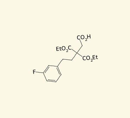 CCOC(=O)C(CCc1cccc(F)c1)(CC(=O)O)C(=O)OCC